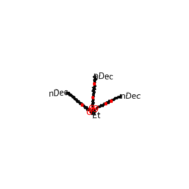 [CH2]Cc1cc(OCCCCCCCCCCCCCCCCCCCCCCCCCCCC)c(OCCCCCCCCCCCCCCCCCCCCCCCCCCCC)c(OCCCCCCCCCCCCCCCCCCCCCCCCCCCC)c1